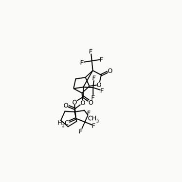 C=C(C(=O)OC1C2OC(=O)C3(C(F)(F)F)C2CC1C3(C(=O)OC1(CC)CCCC1)C(F)(F)F)C(F)(F)F